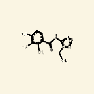 CCn1nnnc1NC(=O)c1ccc(C)c(C)c1C